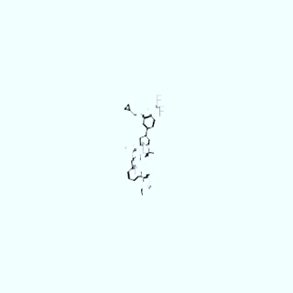 CCN(C)C(=O)c1cccc(COC(=O)[C@H]2CC(c3ccc(OC(F)F)c(OCC4CC4)c3)CN2C(C)=O)n1